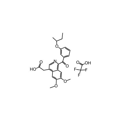 CCC(C)Oc1cccc(C(=O)c2ncc(CC(=O)O)c3cc(OC)c(OC)cc23)c1.O=C(O)C(F)(F)F